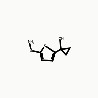 NSc1ccc(C2(O)CC2)s1